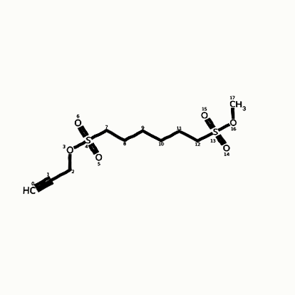 C#CCOS(=O)(=O)CCCCCCS(=O)(=O)OC